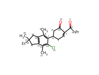 CCCC(=O)C1=CCC(c2c(C)c3c(c(C)c2Cl)CC(C)(CC)C3)CC1=O